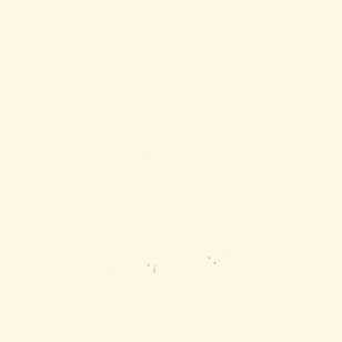 CCNc1cc(Oc2ccccc2)ccc1[N+](=O)[O-]